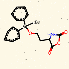 CC(C)(C)[Si](OCCC1NC(=O)OC1=O)(c1ccccc1)c1ccccc1